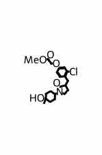 COC(=O)COc1ccc(CC2CCN(C3CCC(C)(O)CC3)C2=O)c(Cl)c1